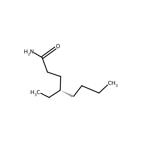 CCCC[C@H](CC)CCC(N)=O